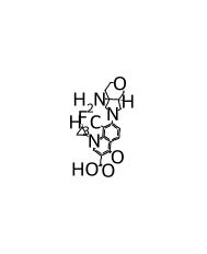 Cc1c(N2C[C@@H]3COCC[C@@]3(N)C2)ccc2c(=O)c(C(=O)O)cn([C@@H]3C[C@@H]3F)c12